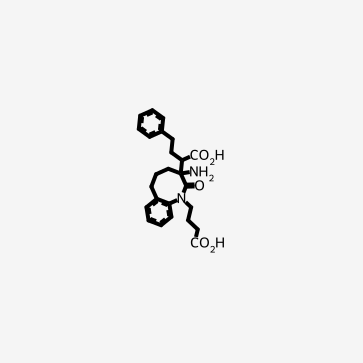 NC1(C(CCc2ccccc2)C(=O)O)CCCc2ccccc2N(CCCC(=O)O)C1=O